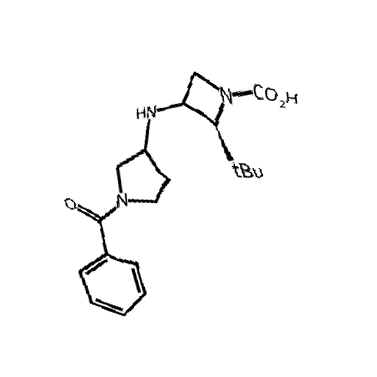 CC(C)(C)[C@H]1C(NC2CCN(C(=O)c3ccccc3)C2)CN1C(=O)O